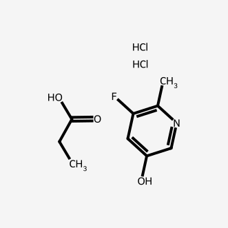 CCC(=O)O.Cc1ncc(O)cc1F.Cl.Cl